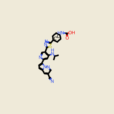 CC(C)Nc1cc(-c2ccc3cc(C#N)cnn23)ncc1-c1nnc(C23CCC(NC(=O)O)(CC2)CC3)s1